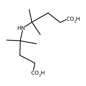 CC(C)(CCC(=O)O)NC(C)(C)CCC(=O)O